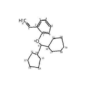 C=Cc1ccccc1OC(C1CCCCC1)C1CCCCC1